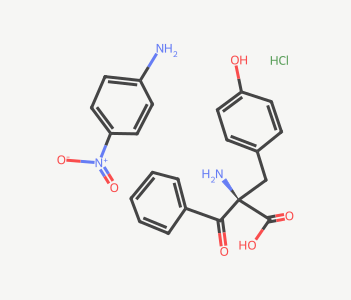 Cl.N[C@@](Cc1ccc(O)cc1)(C(=O)O)C(=O)c1ccccc1.Nc1ccc([N+](=O)[O-])cc1